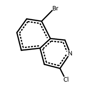 Clc1cc2cccc(Br)c2cn1